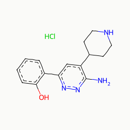 Cl.Nc1nnc(-c2ccccc2O)cc1C1CCNCC1